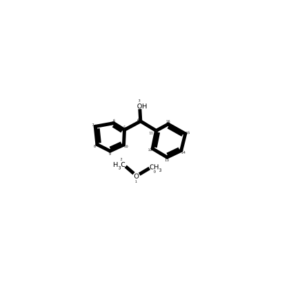 COC.OC(c1ccccc1)c1ccccc1